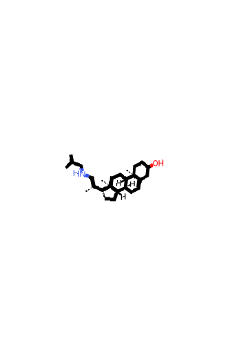 CC(C)CNC[C@@H](C)[C@H]1CC[C@H]2[C@@H]3CC=C4CC(O)CC[C@]4(C)[C@H]3CC[C@]12C